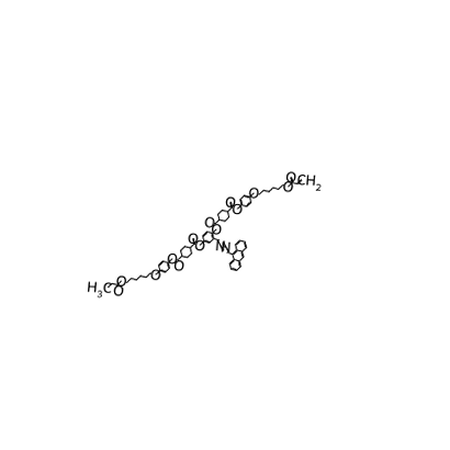 C=CC(=O)OCCCCCCOc1ccc(OC(=O)C2CCC(C(=O)Oc3ccc(OC(=O)C4CCC(C(=O)Oc5ccc(OCCCCCCOC(=O)CC)cc5)CC4)cc3/C=N/N=C/c3c4ccccc4cc4ccccc34)CC2)cc1